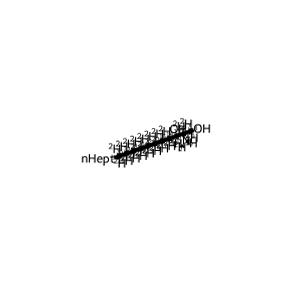 [2H]N([2H])[C@@]([2H])(C([2H])([2H])O)[C@]([2H])(O)C([2H])([2H])C([2H])([2H])C([2H])([2H])C([2H])([2H])C([2H])([2H])C([2H])([2H])C([2H])([2H])C([2H])([2H])CCCCCCC